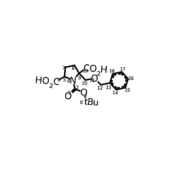 CC(C)(C)OC(=O)N1C(C(=O)O)CCC1(COCc1ccccc1)C(=O)O